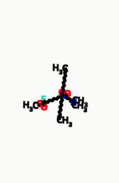 CCCCCCCCCCON(C(=O)CCCN(C)C)C(CCCCCCCCC)CCCCCCC(F)C(=O)OCC